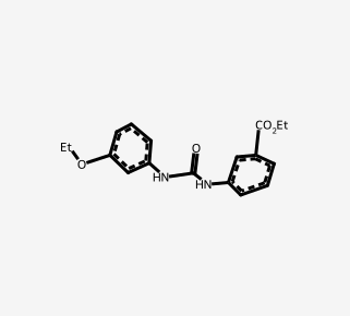 CCOC(=O)c1cccc(NC(=O)Nc2cccc(OCC)c2)c1